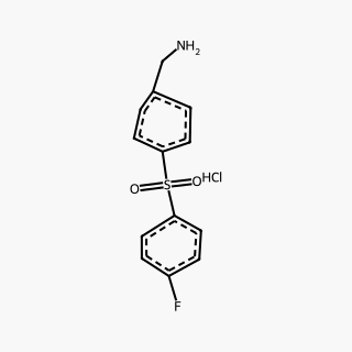 Cl.NCc1ccc(S(=O)(=O)c2ccc(F)cc2)cc1